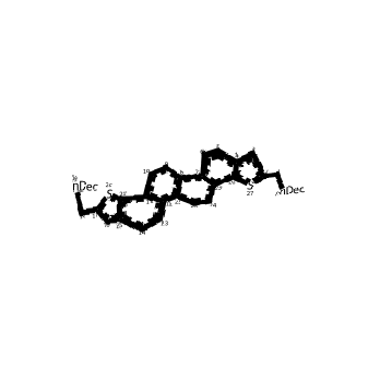 CCCCCCCCCCCc1cc2ccc3c4ccc5c(ccc6cc(CCCCCCCCCCC)sc65)c4ccc3c2s1